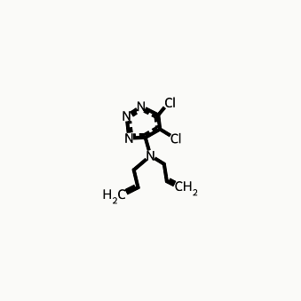 C=CCN(CC=C)c1nnnc(Cl)c1Cl